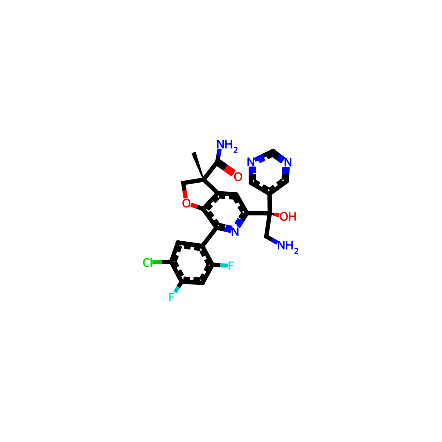 C[C@]1(C(N)=O)COc2c1cc([C@@](O)(CN)c1cncnc1)nc2-c1cc(Cl)c(F)cc1F